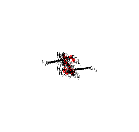 CCCCCCCCCCCCCCCCCC[Si](C)(O[Si](C)(CCCCCOC(C)COC(C)=O)O[Si](C)(C)C)O[Si](C)(CC[Si](C)(C)O[Si](C)(C)CC[Si](C)(O[Si](C)(C)C)O[Si](C)(CCCCCCCCCCCCCCCCCC)O[Si](C)(CCCCCOC(C)COC(C)=O)O[Si](C)(C)C)O[Si](C)(C)C